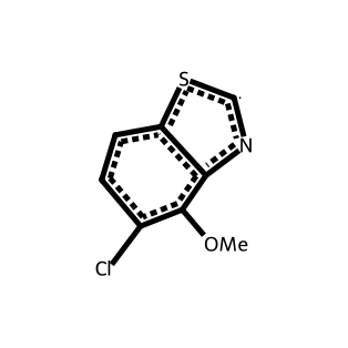 COc1c(Cl)ccc2s[c]nc12